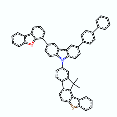 CC1(C)c2cc(-n3c4ccc(-c5ccc(-c6ccccc6)cc5)cc4c4cc(-c5cccc6c5oc5ccccc56)ccc43)ccc2-c2ccc3sc4ccccc4c3c21